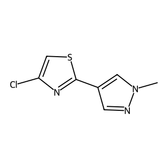 Cn1cc(-c2nc(Cl)cs2)cn1